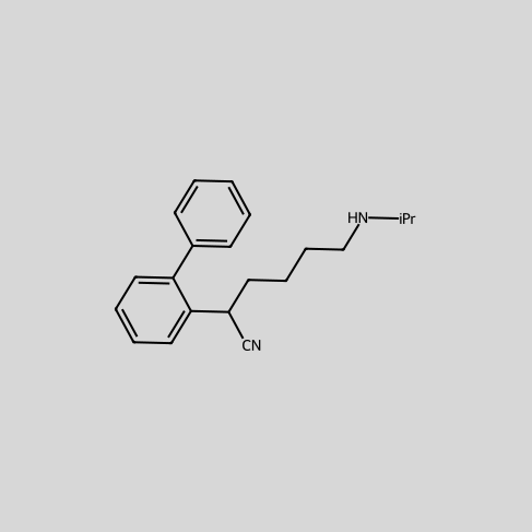 CC(C)NCCCCC(C#N)c1ccccc1-c1ccccc1